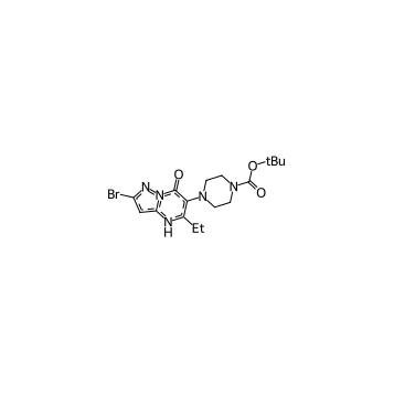 CCc1[nH]c2cc(Br)nn2c(=O)c1N1CCN(C(=O)OC(C)(C)C)CC1